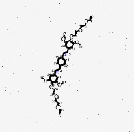 CCOCCOCCOc1c(OC)cc(/C=C/c2ccc(/C=C/c3cc(OC)c(OCCOCCOCC)c(OC)c3)cc2)cc1OC